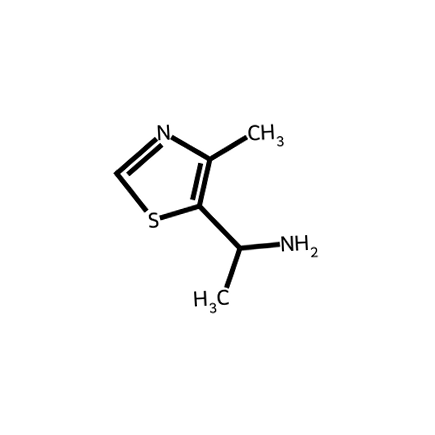 Cc1ncsc1C(C)N